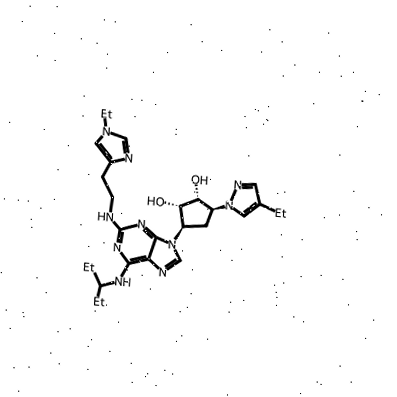 CCc1cnn([C@H]2C[C@@H](n3cnc4c(NC(CC)CC)nc(NCCc5cn(CC)cn5)nc43)[C@H](O)[C@@H]2O)c1